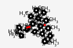 Cc1cc(C)c(N2c3cc4c(cc3B3c5ccccc5Oc5cc(N6c7ccccc7[Si](C)(C)c7ccccc76)cc2c53)B2c3cc5c(cc3N(c3c(C)cc(C)cc3C)c3cc(N6c7ccccc7[Si](C)(C)c7ccccc76)cc(c32)N4c2c(C)cc(C)cc2C)Nc2cc(N3c4ccccc4[Si](C)(C)c4ccccc43)cc3c2B5c2ccccc2O3)c(C)c1